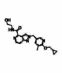 Cc1cc(Cn2cc3c(C(=O)NCCO)nccc3n2)cnc1OCC1CC1